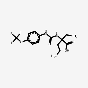 CCCC(CC)(NC(=O)Nc1ccc(OC(F)(F)F)cc1)C(=O)O